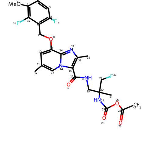 COc1ccc(F)c(COc2cc(C)cn3c(C(=O)NCC(C)(CF)NC(=O)OC(=O)C(F)(F)F)c(C)nc23)c1F